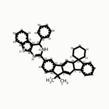 CC1(C)C2=CC3c4ccccc4C4(CCCCC4)C3C=C2c2cc(C3=Nc4sc5ccccc5c4C(c4ccccc4)N3)ccc21